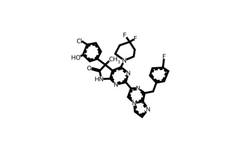 CC1(c2ccc(Cl)c(O)c2)C(=O)Nc2nc(-c3cn4ccnc4c(Cc4ccc(F)cc4)n3)nc(N3CCC(F)(F)CC3)c21